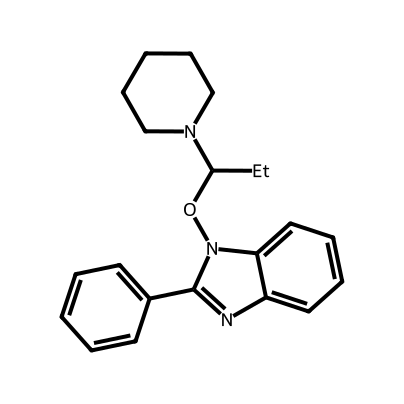 CCC(On1c(-c2ccccc2)nc2ccccc21)N1CCCCC1